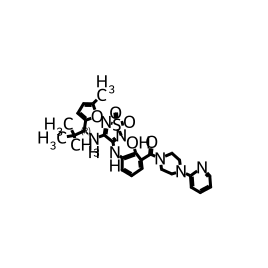 Cc1ccc([C@H](NC2=NS(=O)(=O)N=C2Nc2cccc(C(=O)N3CCN(c4ccccn4)CC3)c2O)C(C)(C)C)o1